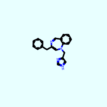 C1=NC(Cc2ccccc2)=CN(Cc2c[nH]cn2)c2ccccc21